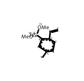 C=Cc1ccc(C)cc1[SiH](OC)OC